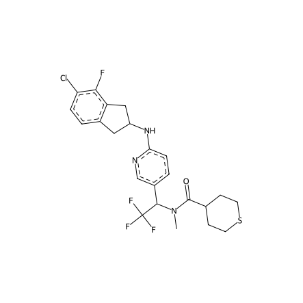 CN(C(=O)C1CCSCC1)C(c1ccc(NC2Cc3ccc(Cl)c(F)c3C2)nc1)C(F)(F)F